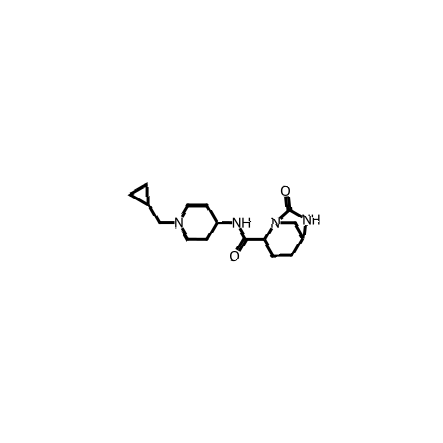 O=C(NC1CCN(CC2CC2)CC1)C1CCC2CN1C(=O)N2